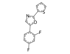 Fc1ccc(-c2cnc(-c3cccs3)o2)c(F)c1